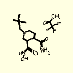 CC(C)(C)CN1CCC(C(N)=O)C(C(=O)NO)C1.O=C(O)C(F)(F)F